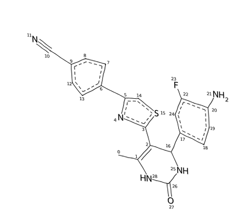 CC1=C(c2nc(-c3ccc(C#N)cc3)cs2)C(c2ccc(N)c(F)c2)NC(=O)N1